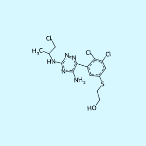 CC(CCl)Nc1nnc(-c2cc(SCCO)cc(Cl)c2Cl)c(N)n1